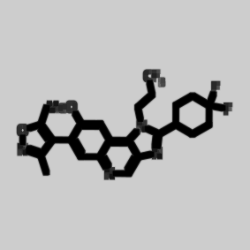 COc1cc2c(cc1-c1c(C)noc1C)ncc1nc(C3CCC(F)(F)CC3)n(CCC(F)(F)F)c12